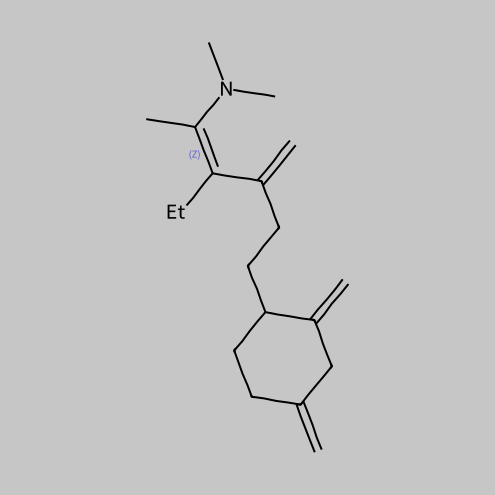 C=C1CCC(CCC(=C)/C(CC)=C(/C)N(C)C)C(=C)C1